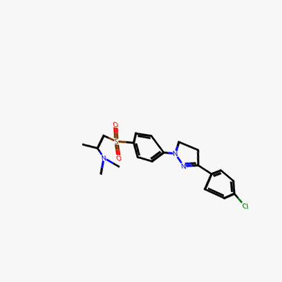 CC(CS(=O)(=O)c1ccc(N2CCC(c3ccc(Cl)cc3)=N2)cc1)N(C)C